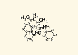 C=C(C)c1ccc2ccccc2[n+]1C1C(C)C1(NC1CCCCC1)OC